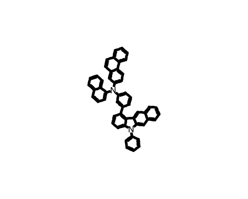 c1ccc(-n2c3cc4ccccc4cc3c3c(-c4cccc(N(c5ccc6c(ccc7ccccc76)c5)c5cccc6ccccc56)c4)cccc32)cc1